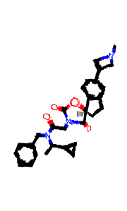 CC(C1CC1)N(Cc1ccccc1)C(=O)CN1C(=O)O[C@@]2(CCc3cc(C4CN(C)C4)ccc32)C1=O